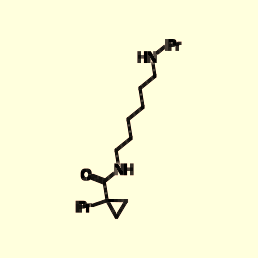 CC(C)NCCCCCCNC(=O)C1(C(C)C)CC1